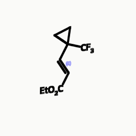 CCOC(=O)/C=C/C1(C(F)(F)F)CC1